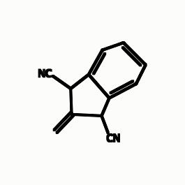 C=C1C(C#N)c2ccccc2C1C#N